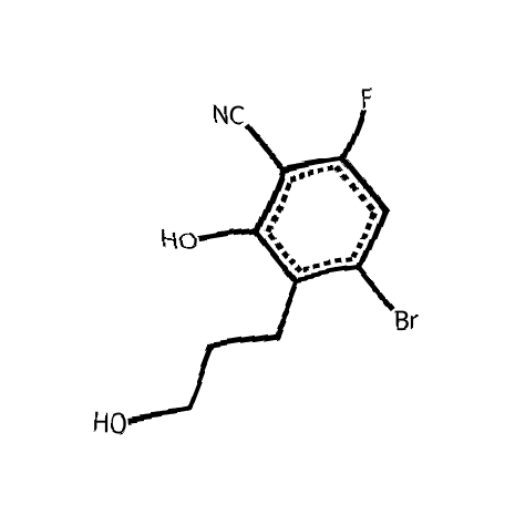 N#Cc1c(F)cc(Br)c(CCCO)c1O